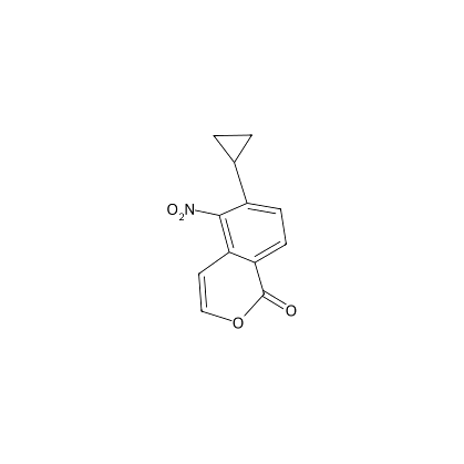 O=c1occc2c([N+](=O)[O-])c(C3CC3)ccc12